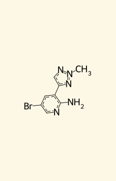 Cn1ncc(-c2cc(Br)cnc2N)n1